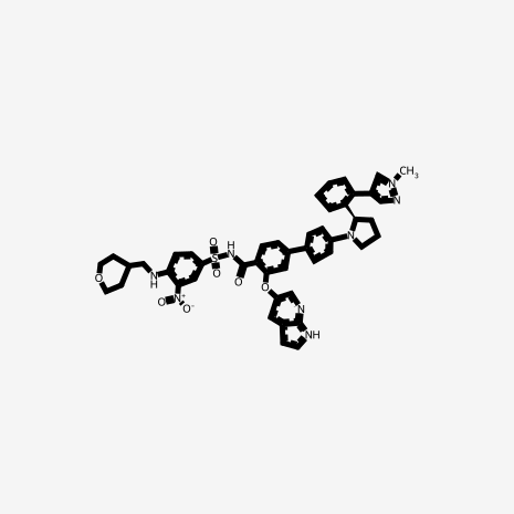 Cn1cc(-c2ccccc2[C@H]2CCCN2c2ccc(-c3ccc(C(=O)NS(=O)(=O)c4ccc(NCC5CCOCC5)c([N+](=O)[O-])c4)c(Oc4cnc5[nH]ccc5c4)c3)cc2)cn1